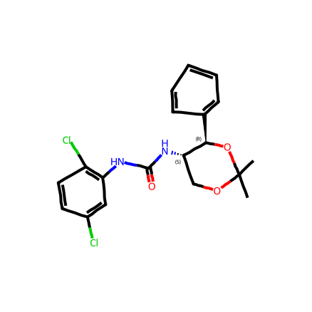 CC1(C)OC[C@H](NC(=O)Nc2cc(Cl)ccc2Cl)[C@@H](c2ccccc2)O1